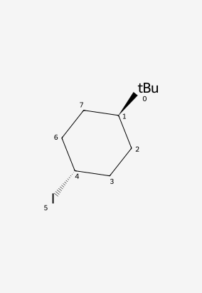 CC(C)(C)[C@H]1CC[C@H](I)CC1